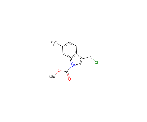 CC(C)(C)OC(=O)n1cc(CCl)c2ccc(C(F)(F)F)cc21